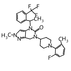 Cc1cccc(F)c1N1CCC(N2Cc3nn(C)cc3N(C(C)c3ccccc3C(F)(F)F)C2=O)CC1